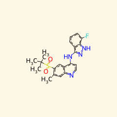 Cc1cc2nccc(Nc3n[nH]c4c(F)cccc34)c2cc1S(=O)(=O)C(C)(C)C